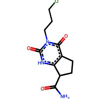 NC(=O)C1CCc2c1[nH]c(=O)n(CCCCl)c2=O